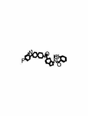 CN(C)C1(c2ccc(F)cc2)CCC2(CCN(C(=O)c3ccc4c(c3)C(NC(=O)c3ccccc3Cl)CC4)CC2)CC1